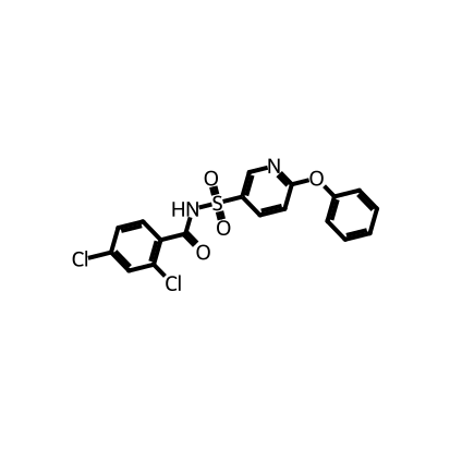 O=C(NS(=O)(=O)c1ccc(Oc2ccccc2)nc1)c1ccc(Cl)cc1Cl